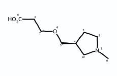 CN1CC[C@H](COCCC(=O)O)C1